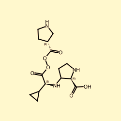 O=C(OOC(=O)[C@@H](NC1CCN[C@H]1C(=O)O)C1CC1)[C@@H]1CCNC1